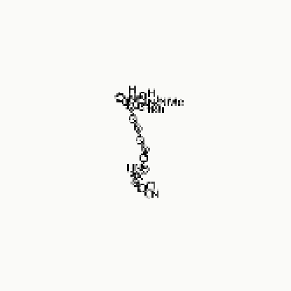 CN[C@@H](C)C(=O)NC(C(=O)N1CCC[C@H]1C(=O)N[C@H]1c2ccccc2C[C@H]1OCCOCCOCCOCCOc1ccc(C(=O)N[C@H]2C(C)(C)[C@H](Oc3ccc(C#N)c(Cl)c3)C2(C)C)cc1)C(C)(C)C